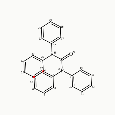 O=C(P(c1ccccc1)c1ccccc1)P(c1ccccc1)c1ccccc1